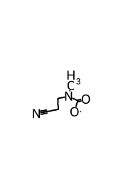 CN(CCC#N)C([O])=O